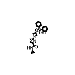 CC(C)(C)[Si](OC1CN(c2nc(C(=O)NC3CC3)cs2)C1)(c1ccccc1)c1ccccc1